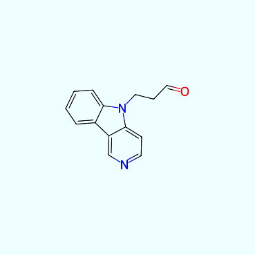 O=CCCn1c2ccccc2c2cnccc21